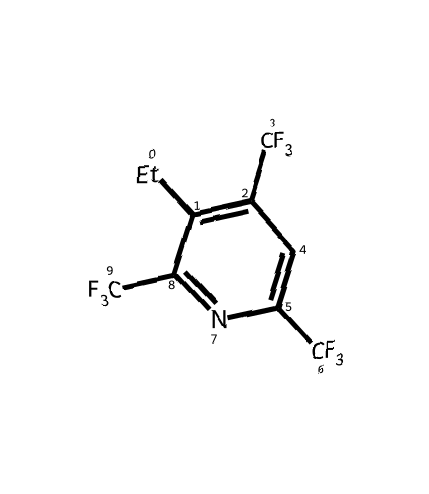 CCc1c(C(F)(F)F)cc(C(F)(F)F)nc1C(F)(F)F